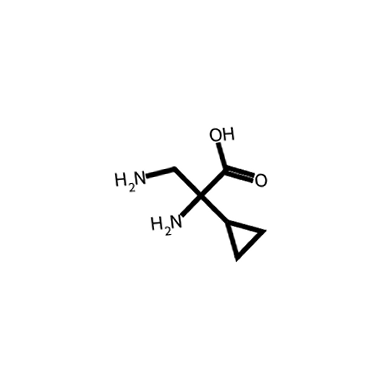 NCC(N)(C(=O)O)C1CC1